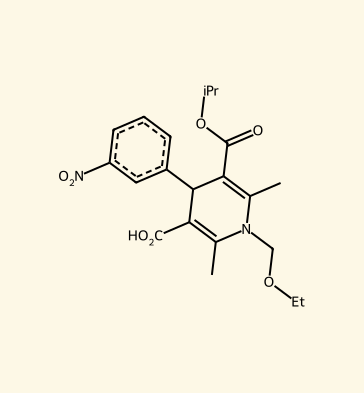 CCOCN1C(C)=C(C(=O)O)C(c2cccc([N+](=O)[O-])c2)C(C(=O)OC(C)C)=C1C